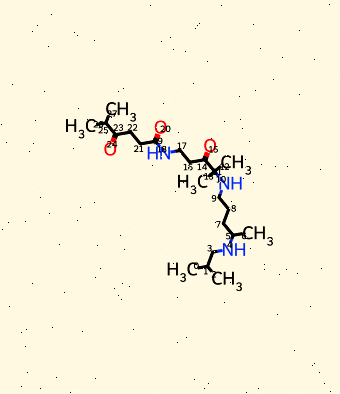 CC(C)CNC(C)CCCNC(C)(C)C(=O)CCNC(=O)CCC(=O)C(C)C